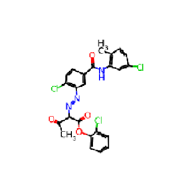 CC(=O)C(N=Nc1cc(C(=O)Nc2cc(Cl)ccc2C)ccc1Cl)C(=O)Oc1ccccc1Cl